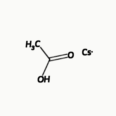 CC(=O)O.[Cs]